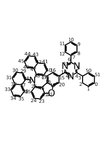 C1=CCC(c2nc(-c3ccccc3)nc(-c3ccc4c(c3)oc3cccc(N(c5cccc6ccccc56)c5cccc6ccccc56)c34)n2)C=C1